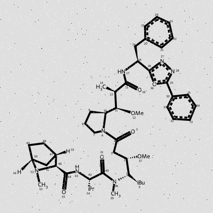 CC[C@H](C)[C@@H]([C@H](CC(=O)N1CCC[C@H]1[C@H](OC)[C@@H](C)C(=O)N[C@@H](Cc1ccccc1)c1nnc(-c2ccccc2)o1)OC)N(C)C(=O)[C@@H](NC(=O)[C@@H]1[C@H]2CC[C@H](C2)N1C)C(C)C